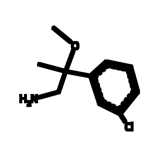 COC(C)(CN)c1cccc(Cl)c1